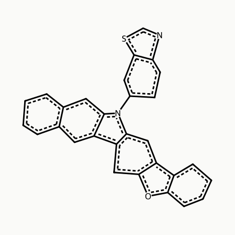 c1ccc2cc3c(cc2c1)c1cc2oc4ccccc4c2cc1n3-c1ccc2ncsc2c1